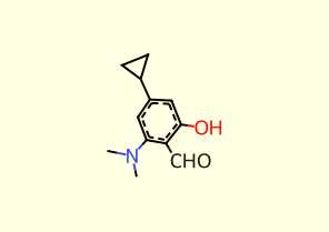 CN(C)c1cc(C2CC2)cc(O)c1C=O